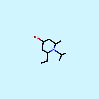 CCC1CC(O)CC(C)N1C(C)C